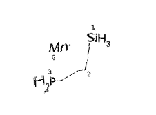 [Mn].[SiH3]CP